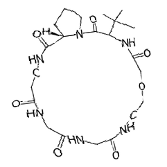 CC(C)(C)C1NC(=O)COCCNC(=O)CNC(=O)CNC(=O)CCNC(=O)[C@@H]2CCCN2C1=O